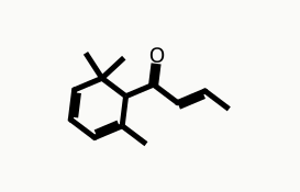 CC=CC(=O)C1C(C)=CC=CC1(C)C